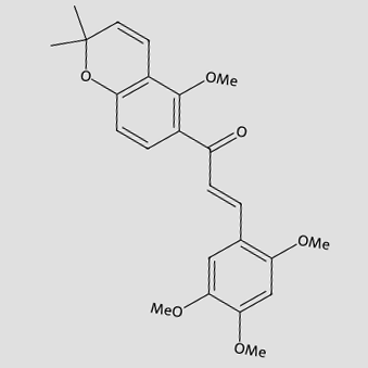 COc1cc(OC)c(OC)cc1C=CC(=O)c1ccc2c(c1OC)C=CC(C)(C)O2